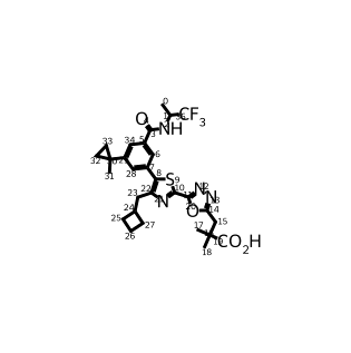 CC(NC(=O)c1cc(-c2sc(-c3nnc(CC(C)(C)C(=O)O)o3)nc2CC2CCC2)cc(C2(C)CC2)c1)C(F)(F)F